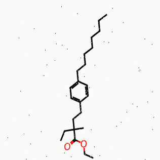 CCCCCCCCc1ccc(CCC(C)(CC)C(=O)OCC)cc1